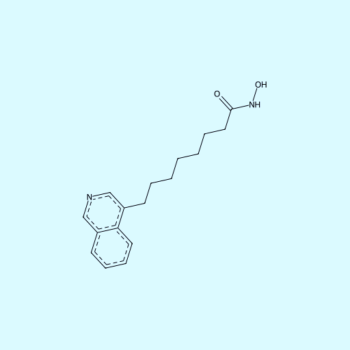 O=C(CCCCCCCc1cncc2ccccc12)NO